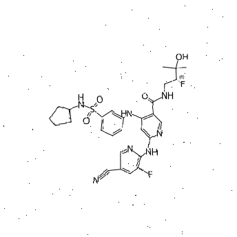 CC(C)(O)[C@H](F)CNC(=O)c1cnc(Nc2ncc(C#N)cc2F)cc1Nc1cccc(S(=O)(=O)NC2CCCC2)c1